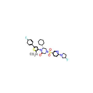 O=C(O)c1sc(C2=CCC(F)C=C2)cc1N1C(=O)CN(S(=O)(=O)c2ccc(N3CC[C@@H](F)C3)nc2)C[C@H]1C1CCCCC1